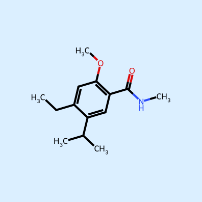 CCc1cc(OC)c(C(=O)NC)cc1C(C)C